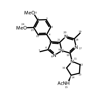 COc1ccc(-c2c(C)nn3c(N4CC[C@@H](NC(C)=O)C4)nc(C)nc23)cc1OC